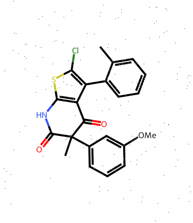 COc1cccc(C2(C)C(=O)Nc3sc(Cl)c(-c4ccccc4C)c3C2=O)c1